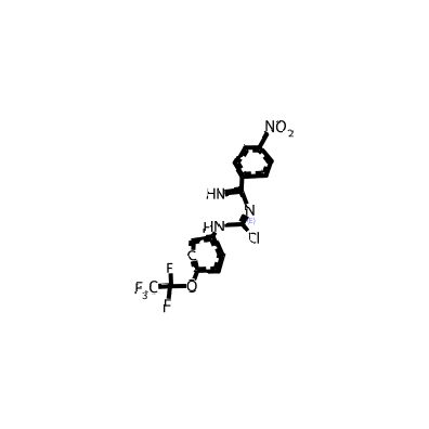 N=C(/N=C(/Cl)Nc1ccc(OC(F)(F)C(F)(F)F)cc1)c1ccc([N+](=O)[O-])cc1